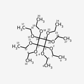 CCOC1(OCC)C(OCC)(OCC)C(OCC)(OCC)C1(OCC)OCC